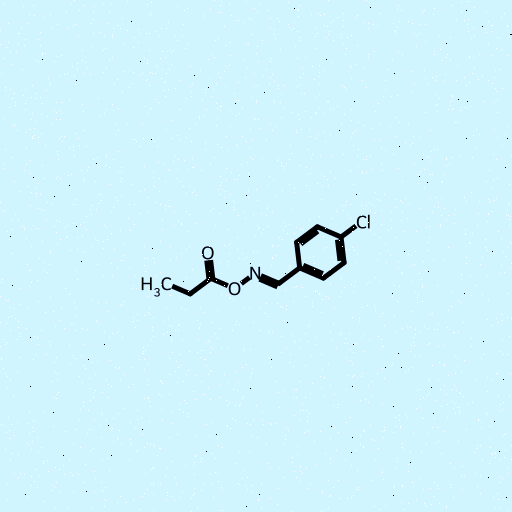 CCC(=O)ON=Cc1ccc(Cl)cc1